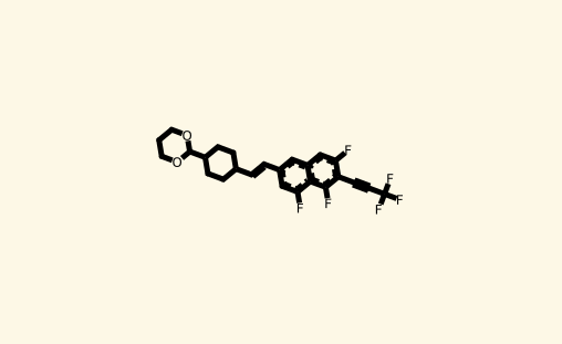 Fc1cc2cc(/C=C/C3CCC(C4OCCCO4)CC3)cc(F)c2c(F)c1C#CC(F)(F)F